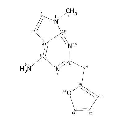 Cn1ccc2c(N)nc(Cc3ccco3)nc21